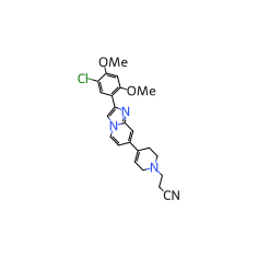 COc1cc(OC)c(-c2cn3ccc(C4=CCN(CCC#N)CC4)cc3n2)cc1Cl